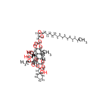 CCCCCCCCCCCCCCCC1OCC(COC(=O)OC2=C(C)[C@@H]3C[C@H]4OC(=O)C(OC(=O)CC5(O)CCCCC5)[C@H]5[C@@]6(C(=O)OC)OC[C@]45[C@@H]([C@@H](O)[C@@H]6O)[C@@]3(C)CC2=O)O1